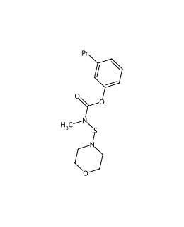 CC(C)c1cccc(OC(=O)N(C)SN2CCOCC2)c1